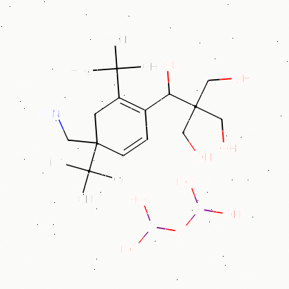 CC(C)(C)C1=C(C(O)C(CO)(CO)CO)C=CC(CN)(C(C)(C)C)C1.OP(O)OP(O)O